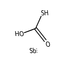 O=C(O)S.[Sb]